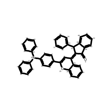 O=C1/C(=C2/C=C(c3ccc(N(c4ccccc4)c4ccccc4)cc3)Oc3ccccc32)C(c2ccccc2)c2ccccc21